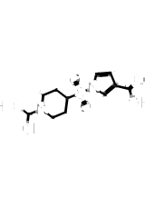 CC(C)N1CCC(S(=O)(=O)n2ccc(C(=O)O)c2)CC1